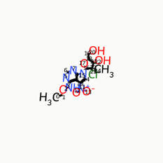 CCONc1ncnc2c1c([N+](=O)[O-])cn2[C@@H]1OC(CO)C(O)[C@@]1(C)Cl